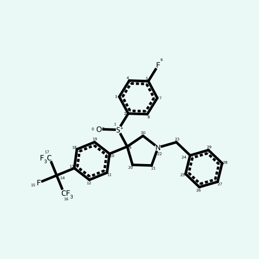 [O-][S+](c1ccc(F)cc1)C1(c2ccc(C(F)(C(F)(F)F)C(F)(F)F)cc2)CCN(Cc2ccccc2)C1